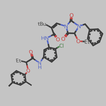 CCOC1C(=O)N(/C=C(\C(=O)Nc2cc(NC(=O)C(CC)Oc3ccc(C)cc3C)ccc2Cl)C(C)(C)C)C(=O)N1Cc1ccccc1